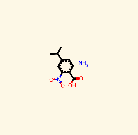 CC(C)c1ccc(C(=O)O)c([N+](=O)[O-])c1.N